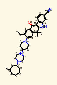 CCc1cc2c(cc1N1CCC(N3CCN(C4CCCCC(C)C4)CC3)CC1)C(C)(C)c1[nH]c3cc(C#N)ccc3c1C2=O